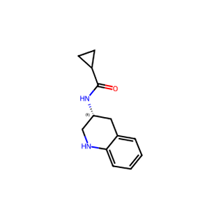 O=C(N[C@H]1CNc2ccccc2C1)C1CC1